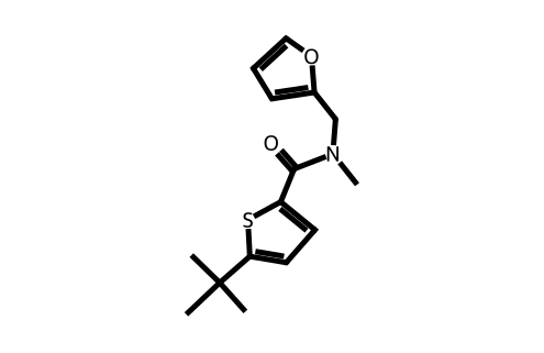 CN(Cc1ccco1)C(=O)c1ccc(C(C)(C)C)s1